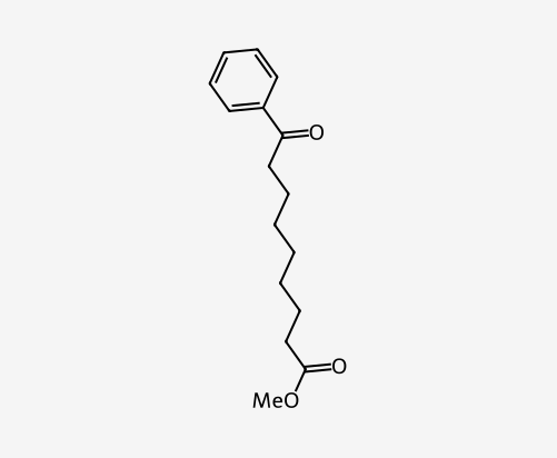 COC(=O)CCCCCCCC(=O)c1ccccc1